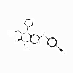 CCN1C(=O)N(C)c2cnc(Nc3ccc(C#N)cc3)nc2N1C1CCCC1